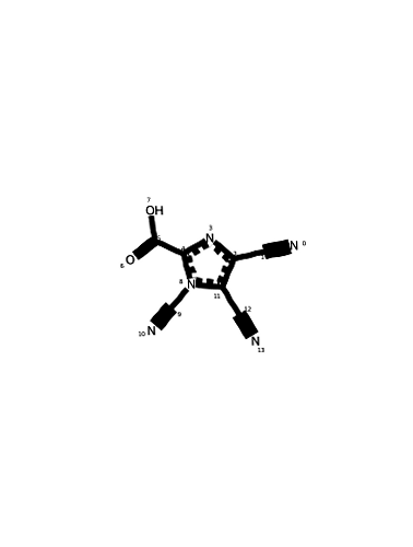 N#Cc1nc(C(=O)O)n(C#N)c1C#N